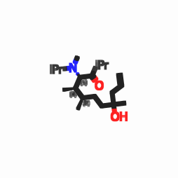 C=CCC(C)(O)CC[C@@H](C)[C@@H](C)[C@@H](C(=O)C(C)C)N(C)C(C)C